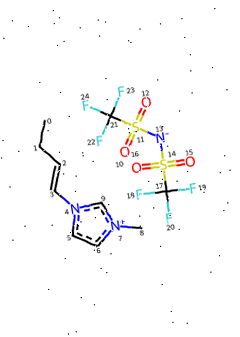 CCC=Cn1cc[n+](C)c1.O=S(=O)([N-]S(=O)(=O)C(F)(F)F)C(F)(F)F